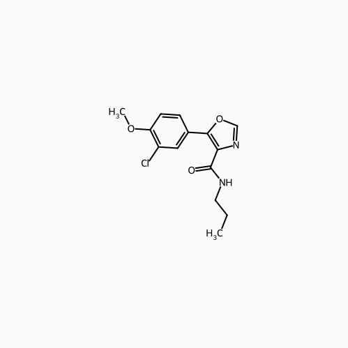 CCCNC(=O)c1ncoc1-c1ccc(OC)c(Cl)c1